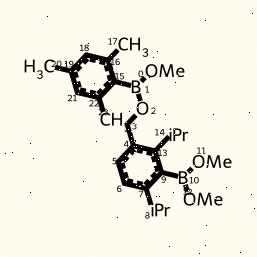 COB(OCc1ccc(C(C)C)c(B(OC)OC)c1C(C)C)c1c(C)cc(C)cc1C